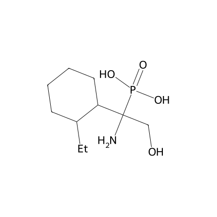 CCC1CCCCC1C(N)(CO)P(=O)(O)O